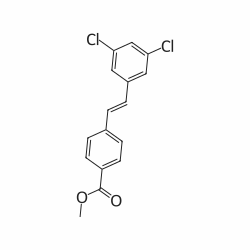 COC(=O)c1ccc(/C=C/c2cc(Cl)cc(Cl)c2)cc1